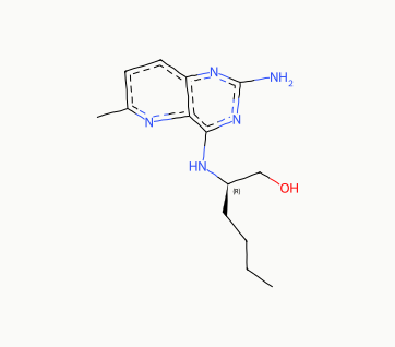 CCCC[C@H](CO)Nc1nc(N)nc2ccc(C)nc12